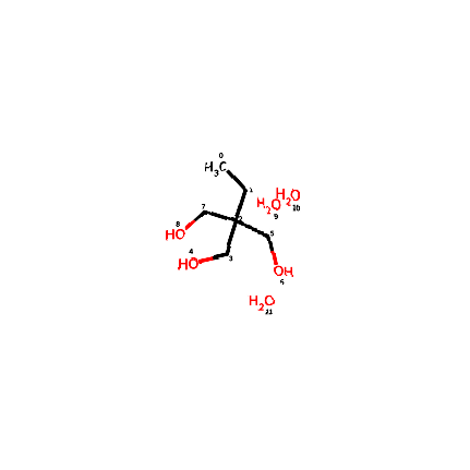 CCC(CO)(CO)CO.O.O.O